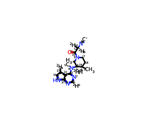 [2H]c1nc(N(C)[C@@]2([2H])CN(C(=O)C([2H])([2H])[N+]#[C-])CC[C@@]2([2H])C)c2c([2H])c[nH]c2n1